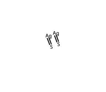 [S]=[Ag].[S]=[Ag]